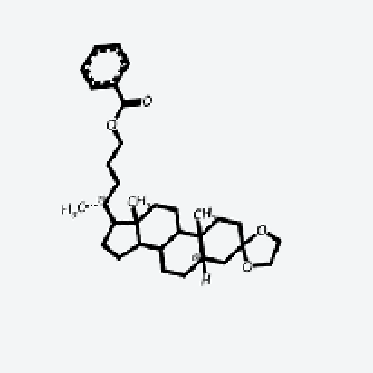 C[C@H](CCCOC(=O)c1ccccc1)C1CCC2C3CC[C@H]4CC5(CCC4(C)C3CCC21C)OCCO5